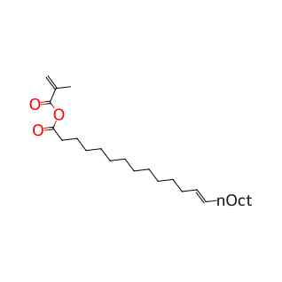 C=C(C)C(=O)OC(=O)CCCCCCCCCCCC=CCCCCCCCC